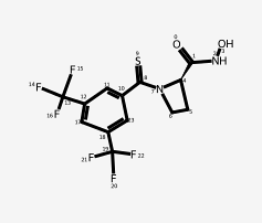 O=C(NO)[C@H]1CCN1C(=S)c1cc(C(F)(F)F)cc(C(F)(F)F)c1